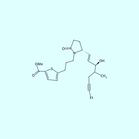 CCC#CCC(C)[C@H](O)/C=C/[C@H]1CCC(=O)N1CCCc1ccc(C(=O)OC)s1